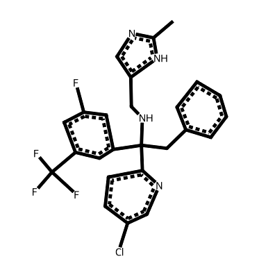 Cc1ncc(CNC(Cc2ccccc2)(c2cc(F)cc(C(F)(F)F)c2)c2ccc(Cl)cn2)[nH]1